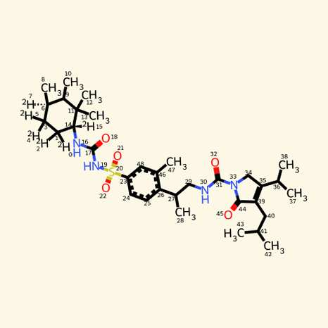 [2H]C1([2H])C([2H])([2H])[C@@]([2H])(C)C(C)C(C)(C)[C@]1([2H])NC(=O)NS(=O)(=O)c1ccc(C(C)CNC(=O)N2CC(C(C)C)=C(CC(C)C)C2=O)c(C)c1